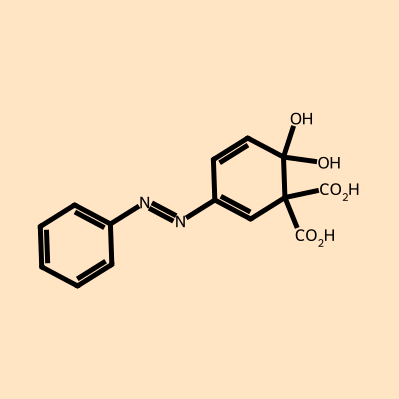 O=C(O)C1(C(=O)O)C=C(N=Nc2ccccc2)C=CC1(O)O